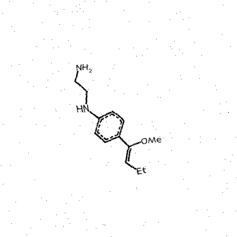 CC/C=C(\OC)c1ccc(NCCN)cc1